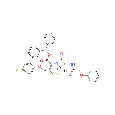 O=C(COc1ccccc1)NC1C(=O)N2C(C(=O)OC(c3ccccc3)c3ccccc3)=C(COc3ccc(F)cc3)CS[C@H]12